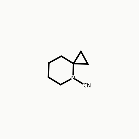 N#CN1CCCCC12CC2